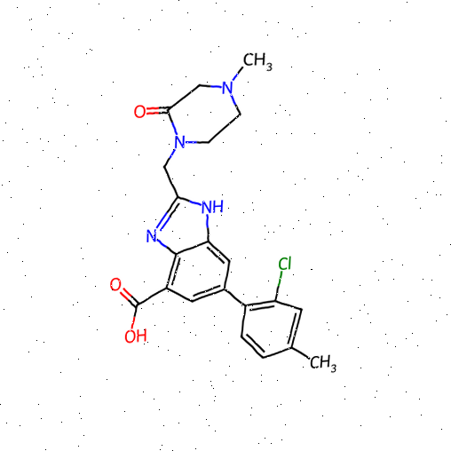 Cc1ccc(-c2cc(C(=O)O)c3nc(CN4CCN(C)CC4=O)[nH]c3c2)c(Cl)c1